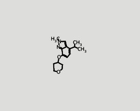 CC(C)c1ccc(OC2CCOCC2)c2nn(C)cc12